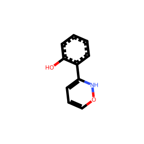 Oc1ccccc1C1=CC=CON1